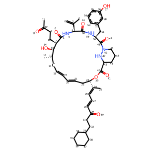 C=C(C)[C@@H]1NC(=O)[C@H](CCC(C)=O)[C@H](O)[C@@H](C)C/C=C/C=C/C[C@@H](/C(C)=C/C=C/C(=O)CCC2CCCCC2)OC(=O)C2CCCN(N2)C(=O)[C@H](Cc2cccc(O)c2)NC1=O